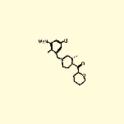 CNc1cc(Cl)cc(CN2CCN(C(=O)C3CCCCO3)[C@@H](C)C2)c1C